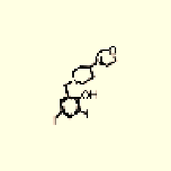 Oc1c(I)cc(I)cc1CN1CCC(N2CCOCC2)CC1